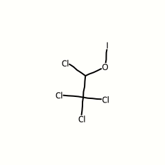 ClC(OI)C(Cl)(Cl)Cl